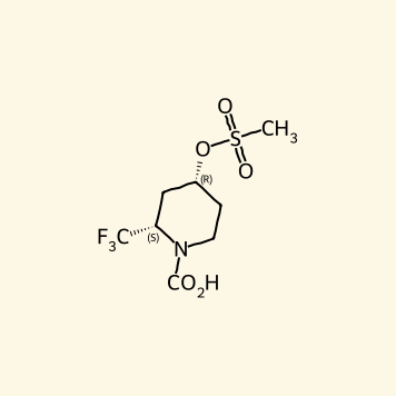 CS(=O)(=O)O[C@@H]1CCN(C(=O)O)[C@H](C(F)(F)F)C1